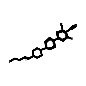 N#Cc1c(F)cc(-c2ccc(C3CCC(/C=C/CCF)CC3)cc2)cc1F